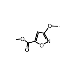 [CH2]Oc1cc(C(=O)OC)on1